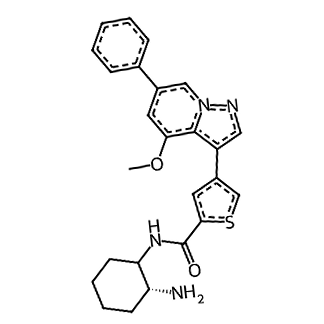 COc1cc(-c2ccccc2)cn2ncc(-c3csc(C(=O)NC4CCCC[C@H]4N)c3)c12